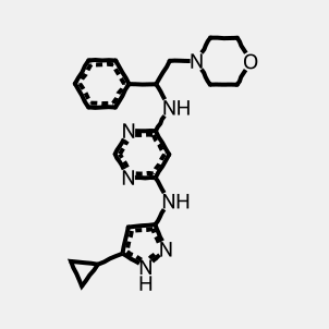 c1ccc(C(CN2CCOCC2)Nc2cc(Nc3cc(C4CC4)[nH]n3)ncn2)cc1